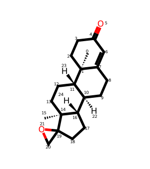 C[C@]12CCC(=O)C=C1CC[C@@H]1[C@@H]2CC[C@@]2(C)[C@H]1CCC21CO1